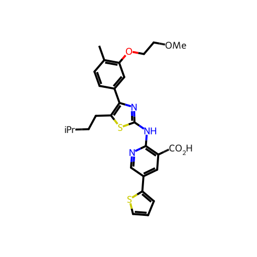 COCCOc1cc(-c2nc(Nc3ncc(-c4cccs4)cc3C(=O)O)sc2CCC(C)C)ccc1C